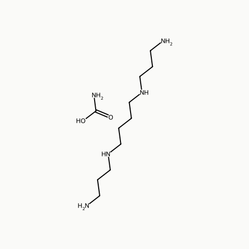 NC(=O)O.NCCCNCCCCNCCCN